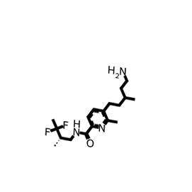 Cc1nc(C(=O)NC[C@H](C)C(C)(F)F)ccc1CCC(C)CCN